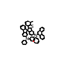 CC1CC=Cc2c1sc1c2C2(c3ccccc3-c3ccc(N(c4ccccc4)c4ccccc4)cc32)c2ccc(N(C3=CC=CCC=C3)c3cc4ccccc4c4ccccc34)cc2-1